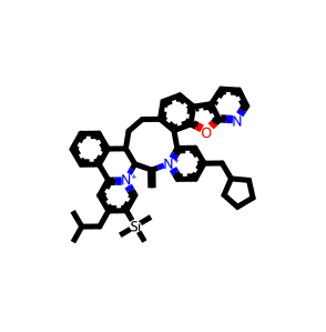 C=C1C2C(CCc3ccc4c(oc5ncccc54)c3-c3cc(CC4CCCC4)cc[n+]31)c1ccccc1-c1cc(CC(C)C)c([Si](C)(C)C)c[n+]12